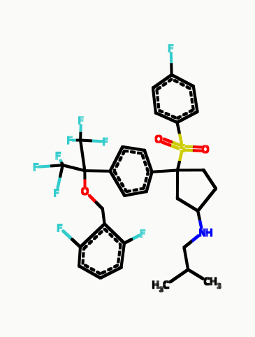 CC(C)CNC1CCC(c2ccc(C(OCc3c(F)cccc3F)(C(F)(F)F)C(F)(F)F)cc2)(S(=O)(=O)c2ccc(F)cc2)C1